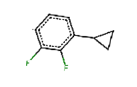 Fc1[c]ccc(C2CC2)c1F